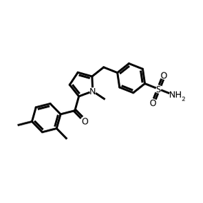 Cc1ccc(C(=O)c2ccc(Cc3ccc(S(N)(=O)=O)cc3)n2C)c(C)c1